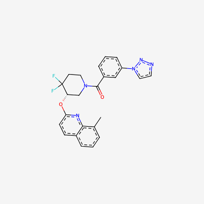 Cc1cccc2ccc(O[C@H]3CN(C(=O)c4cccc(-n5ccnn5)c4)CCC3(F)F)nc12